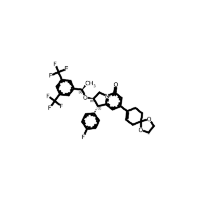 C[C@@H](O[C@H]1Cn2c(cc(C3=CCC4(CC3)OCCO4)cc2=O)[C@@H]1c1ccc(F)cc1)c1cc(C(F)(F)F)cc(C(F)(F)F)c1